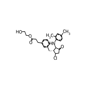 Cc1ccc(NC2C(=O)CC(Cl)[C@@H]2Cc2cccc(CCC(=O)OCCO)c2)c(C)c1